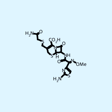 CON=C(C(=O)NC1C(=O)N2C(C(=O)O)=C(CSCC(N)=O)CS[C@@H]12)c1csc(N)n1